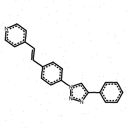 C(=Cc1ccc(-n2cc(-c3ccccc3)nn2)cc1)c1ccncc1